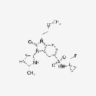 COCCn1c(=O)n(C2NC(C)NS2)c2cc(S(=O)(=O)NC3(CF)CC3)ccc21